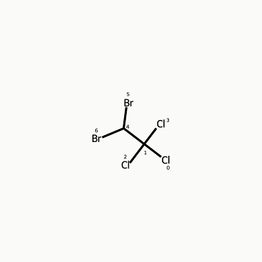 ClC(Cl)(Cl)C(Br)Br